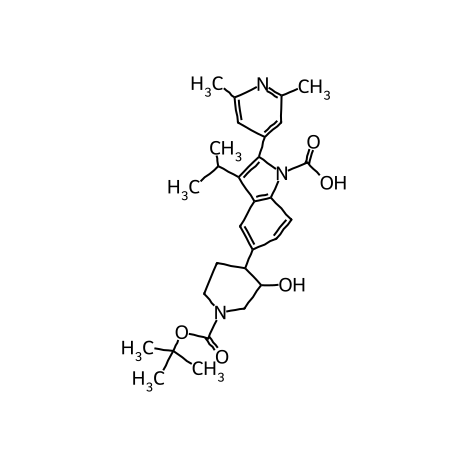 Cc1cc(-c2c(C(C)C)c3cc(C4CCN(C(=O)OC(C)(C)C)CC4O)ccc3n2C(=O)O)cc(C)n1